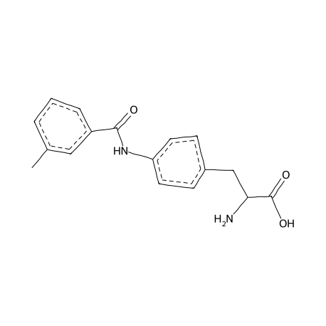 Cc1cccc(C(=O)Nc2ccc(CC(N)C(=O)O)cc2)c1